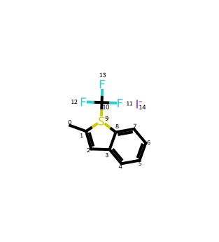 Cc1cc2ccccc2[s+]1C(F)(F)F.[I-]